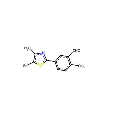 CCc1sc(-c2ccc(OCC(C)C)c(C=O)c2)nc1C